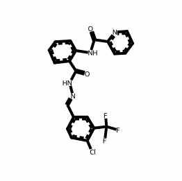 O=C(Nc1ccccc1C(=O)N/N=C/c1ccc(Cl)c(C(F)(F)F)c1)c1ccccn1